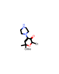 CCC1OC(C)(OC)C=C(N2CCNCC2)C1=O